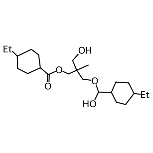 CCC1CCC(C(=O)OCC(C)(CO)COC(O)C2CCC(CC)CC2)CC1